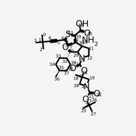 CC(C)(C)C#Cc1cc([C@@]2(N)CCN(C(=O)OC3(C)CN(C(=O)OC(C)(C)C)C3)C2C(=O)[C@H]2CC[C@H](C)CC2)c(C(=O)O)s1